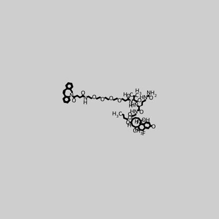 CCCC1O[C@@H]2C[C@H](C)[C@@H]3C[C@H](F)C4=CC(=O)C=C[C@]4(C)[C@@]3(F)[C@@H](O)CC[C@]2(C(=O)CNC(=O)[C@H](CCCNC(N)=O)NC(=O)[C@@H](NC(=O)CCOCCOCCOCCOCCNC(=O)CCC(=O)N2Cc3ccccc3C#Cc3ccccc32)C(C)C)O1